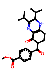 COC(=O)c1ccc(C(=O)C2CCC3=C(N=C(C(C)C)C(C(C)C)N3)C2=O)cc1